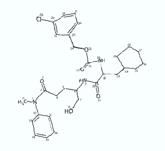 CN(C(=O)CCC(CO)NC(=O)C(CC1CCCCC1)NC(=O)OCc1cccc(Cl)c1)c1ccccc1